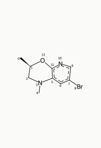 C[C@@H]1CN(C)c2cc(Br)cnc2O1